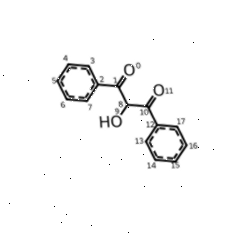 O=C(c1ccccc1)C(O)C(=O)c1ccccc1